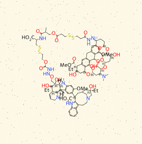 CC[C@]1(O)CC2CN(CCc3c([nH]c4ccccc34)[C@@](C(=O)O)(c3cc4c(cc3OC)N(C)[C@H]3[C@@](O)(CONNC(=O)OCCSSCC(NC(=O)C(C)COC(=O)CCSSCCC(=O)N/N=C5/CC[C@H](OC6C(C)O[C@@H](O[C@@H]7C(C)O[C@@H](O[C@H]8C[C@](O)(CC)[C@H](C(=O)OC)c9cc%10c(c(O)c98)C(=O)c8c(cccc8OC)C%10)C[C@H]7N(C)C)C[C@H]6O)OC5C)C(=O)O)[C@H](O)[C@]5(CC)C=CCN6CC[C@]43[C@@H]65)C2)C1